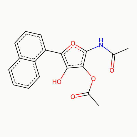 CC(=O)Nc1oc(-c2cccc3ccccc23)c(O)c1OC(C)=O